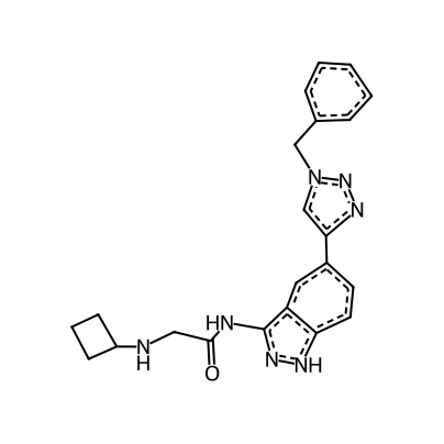 O=C(CNC1CCC1)Nc1n[nH]c2ccc(-c3cn(Cc4ccccc4)nn3)cc12